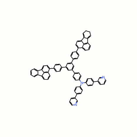 C1=C2C(=CCC1)c1ccc(-c3ccc(-c4cc(-c5ccc(-c6ccc7c8c(cccc68)-c6ccccc6-7)cc5)cc(-c5ccc(N(c6ccc(-c7cccnc7)cc6)c6ccc(-c7cccnc7)cc6)cc5)c4)cc3)c3cccc2c13